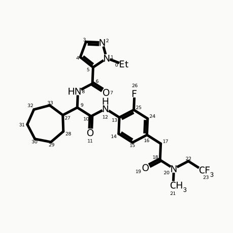 CCn1nccc1C(=O)NC(C(=O)Nc1ccc(CC(=O)N(C)CC(F)(F)F)cc1F)C1CCCCCC1